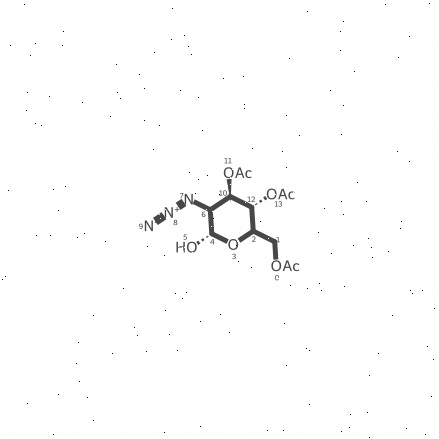 CC(=O)OCC1O[C@H](O)C(N=[N+]=[N-])[C@@H](OC(C)=O)[C@@H]1OC(C)=O